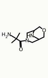 CC(C)(N)C(=O)N1CC2COCC(C1)N2